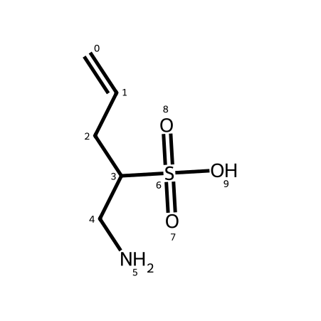 C=CCC(CN)S(=O)(=O)O